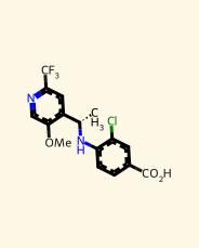 COc1cnc(C(F)(F)F)cc1[C@H](C)Nc1ccc(C(=O)O)cc1Cl